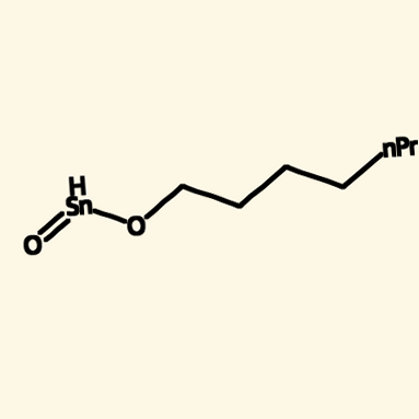 CCCCCCC[O][SnH]=[O]